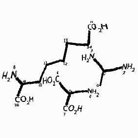 CC(N)N.NC(C(=O)O)C(=O)O.NC(CCCCCC(=O)O)C(=O)O